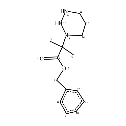 CC(C)(C(=O)OCc1ccccc1)N1CCCNN1